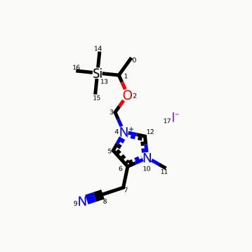 CC(OC[n+]1cc(CC#N)n(C)c1)[Si](C)(C)C.[I-]